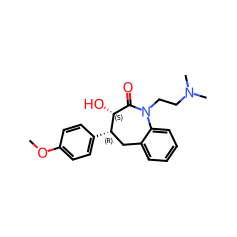 COc1ccc([C@H]2Cc3ccccc3N(CCN(C)C)C(=O)[C@H]2O)cc1